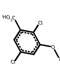 CC(C)Oc1cc(Cl)cc(C(=O)O)c1Cl